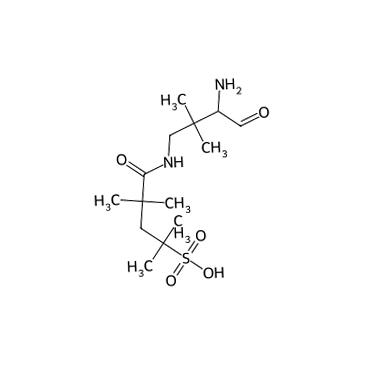 CC(C)(CC(C)(C)S(=O)(=O)O)C(=O)NCC(C)(C)C(N)C=O